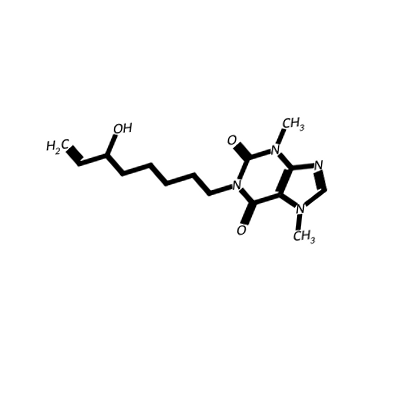 C=CC(O)CCCCCn1c(=O)c2c(ncn2C)n(C)c1=O